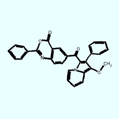 COc1c(-c2ccccc2)c(C(=O)c2ccc3nc(-c4ccccc4)oc(=O)c3c2)n2ccccc12